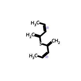 C=C(/C=C\C)SC(=C)/C=C\C